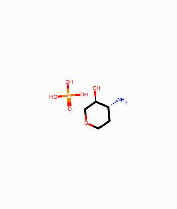 N[C@@H]1CCOC[C@H]1O.O=P(O)(O)O